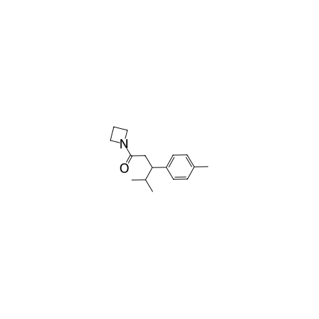 Cc1ccc(C(CC(=O)N2CCC2)C(C)C)cc1